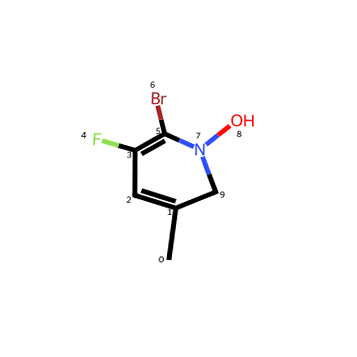 CC1=CC(F)=C(Br)N(O)C1